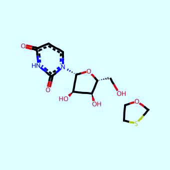 C1CSCO1.O=c1ccn([C@@H]2O[C@H](CO)[C@@H](O)[C@H]2O)c(=O)[nH]1